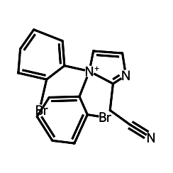 N#CCC1=NC=C[N+]1(c1ccccc1Br)c1ccccc1Br